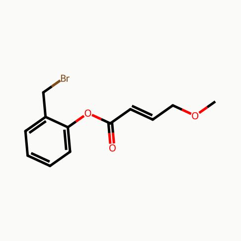 COCC=CC(=O)Oc1ccccc1CBr